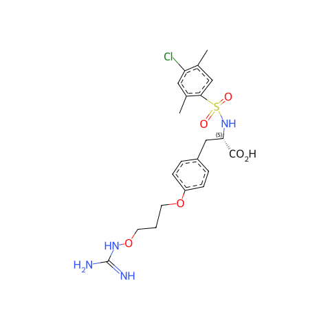 Cc1cc(S(=O)(=O)N[C@@H](Cc2ccc(OCCCONC(=N)N)cc2)C(=O)O)c(C)cc1Cl